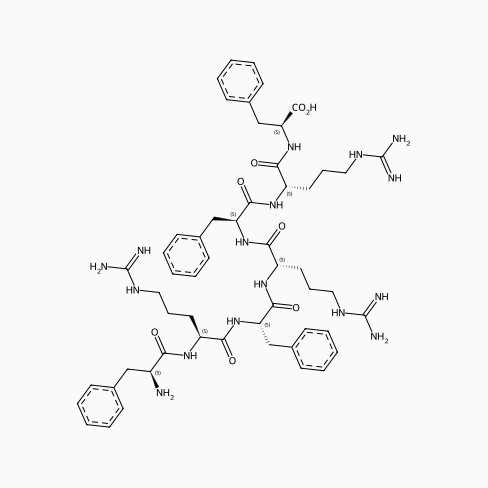 N=C(N)NCCC[C@H](NC(=O)[C@H](Cc1ccccc1)NC(=O)[C@H](CCCNC(=N)N)NC(=O)[C@H](Cc1ccccc1)NC(=O)[C@H](CCCNC(=N)N)NC(=O)[C@@H](N)Cc1ccccc1)C(=O)N[C@@H](Cc1ccccc1)C(=O)O